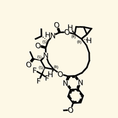 COc1ccc2nc3c(nc2c1)O[C@H]1CN(C(=O)[C@H](C(C)C)NC(=O)O[C@@H]2CC4CC4[C@H]2CCCCC3)[C@H](C(C)=O)[C@@H]1C(F)(F)F